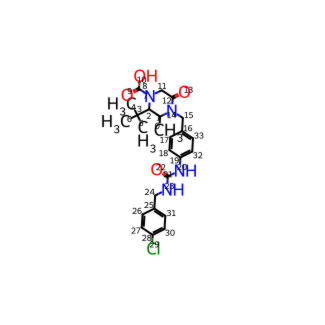 CC1C(C(C)(C)C)N(C(=O)O)CC(=O)N1Cc1ccc(NC(=O)NCc2ccc(Cl)cc2)cc1